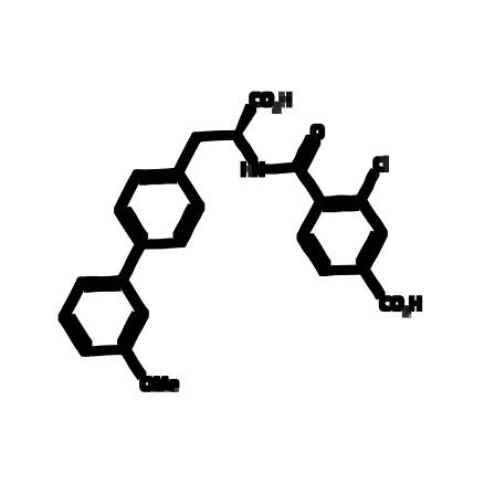 COc1cccc(-c2ccc(C[C@H](NC(=O)c3ccc(C(=O)O)cc3Cl)C(=O)O)cc2)c1